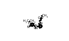 CCOC(=O)CCn1cc2c(-c3noc(-c4ccc(OC(C)C)c(C#N)c4)n3)cccc2n1